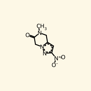 CN1Cc2cc([N+](=O)[O-])nn2CC1=O